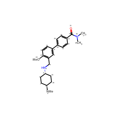 CN[C@H]1CC[C@H](NCc2cc(-c3ccc(C(=O)N(C)C)cc3)ccc2OC)CC1